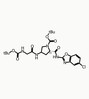 CC(C)(C)OC(=O)NCC(=O)NC1C[C@@H](C(=O)Nc2nc3cc(Cl)ccc3o2)N(C(=O)OC(C)(C)C)C1